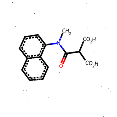 CN(C(=O)C(C(=O)O)C(=O)O)c1cccc2ccccc12